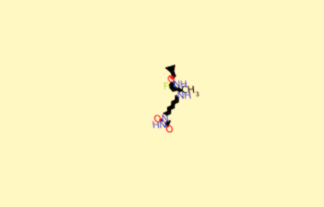 C[C@@H](NCCCCCCCN1CC(=O)NC1=O)c1cc(F)c(OCC2CC2)[nH]1